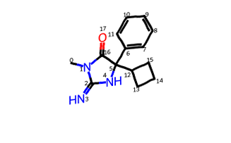 CN1C(=N)NC(c2ccccc2)(C2CCC2)C1=O